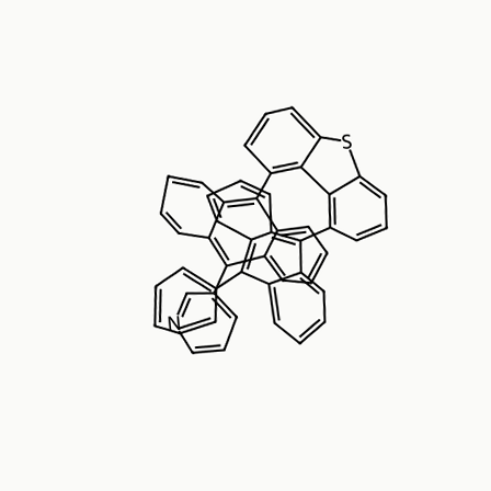 c1ccc(-c2c3ccccc3c(-c3cccc4sc5cccc(-c6c7ccccc7c(-c7cccnc7)c7ccccc67)c5c34)c3ccccc23)cc1